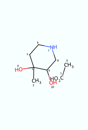 CC(=O)O.CC1(O)CCNCC1O